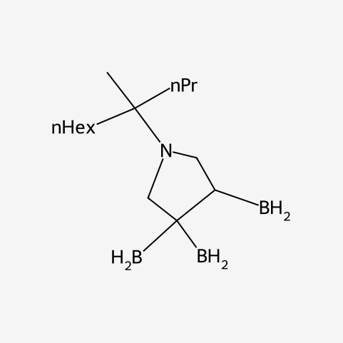 BC1CN(C(C)(CCC)CCCCCC)CC1(B)B